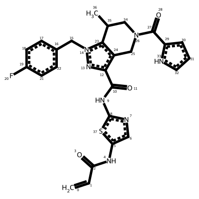 C=CC(=O)Nc1cnc(NC(=O)c2nn(Cc3ccc(F)cc3)c3c2CN(C(=O)c2ccc[nH]2)CC3C)s1